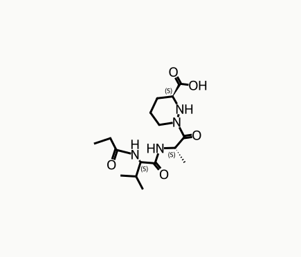 CCC(=O)N[C@H](C(=O)N[C@@H](C)C(=O)N1CCC[C@@H](C(=O)O)N1)C(C)C